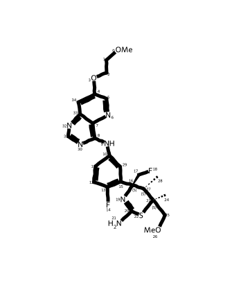 COCCOc1cnc2c(Nc3ccc(F)c([C@@]4(CF)N=C(N)S[C@](C)(COC)[C@H]4C)c3)ncnc2c1